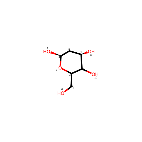 OC[C@H]1O[C@@H](O)C[C@@H](O)C1O